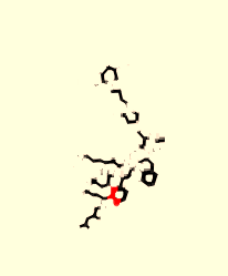 CC(=O)NC(CSC1CC(=O)N(CCCCN2C[C@H](O)[C@@H](O)[C@H](O)[C@H]2CO)C1=O)C(=O)NC(Cc1ccccc1)C(=O)NC(NC(NC(=O)C(CC(=O)O)NC(=O)C(CCC(=O)O)NC(=O)C(C)CC(C)C)C(=O)CCCCN)C(=O)Cc1ccccc1